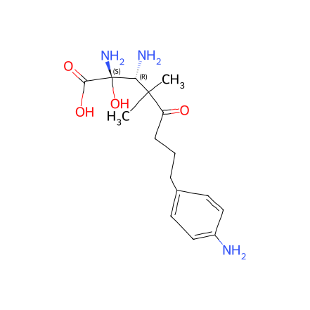 CC(C)(C(=O)CCCc1ccc(N)cc1)[C@@H](N)[C@](N)(O)C(=O)O